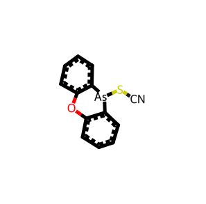 N#CS[As]1c2ccccc2Oc2ccccc21